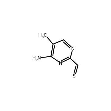 Cc1cnc(C=S)nc1N